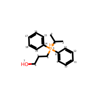 CC(C)[PH](CCCO)(c1ccccc1)c1ccccc1